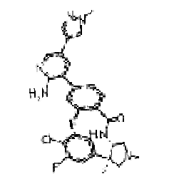 CN1C[C@@H](NC(=O)c2ccc(-c3cc(-c4cnn(C)c4)cnc3N)cc2F)[C@](C)(c2ccc(Cl)c(F)c2)C1